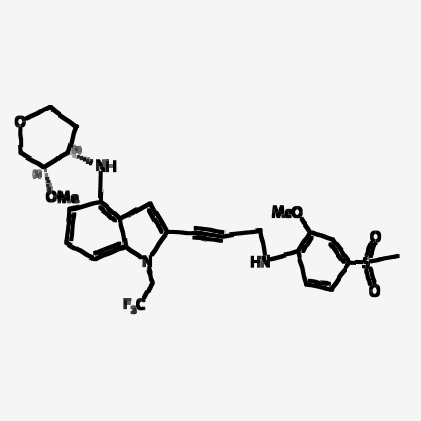 COc1cc(S(C)(=O)=O)ccc1NCC#Cc1cc2c(N[C@H]3CCOC[C@H]3OC)cccc2n1CC(F)(F)F